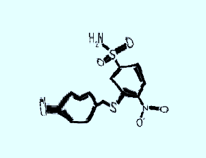 NS(=O)(=O)c1ccc([N+](=O)[O-])c(Sc2ccc(Cl)cc2)c1